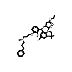 CCOC(=O)CC1OC(c2cccc(OCCCN(C)CCCc3ccccc3)c2OC)c2cc(Cl)ccc2N(CC(C)(C)C)C1=O